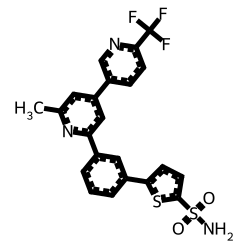 Cc1cc(-c2ccc(C(F)(F)F)nc2)cc(-c2cccc(-c3ccc(S(N)(=O)=O)s3)c2)n1